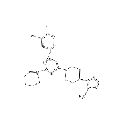 Cn1ccnc1C1CCN(c2cc(-c3ccc(F)c(Cl)c3)nc(N3CCCCC3)n2)CC1